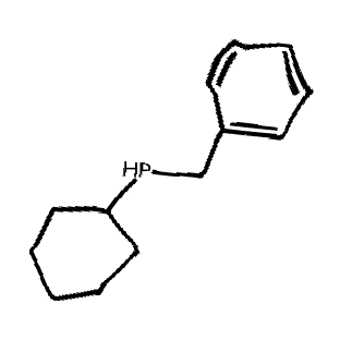 c1ccc(CPC2CCCCC2)cc1